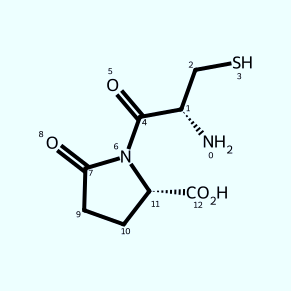 N[C@@H](CS)C(=O)N1C(=O)CC[C@H]1C(=O)O